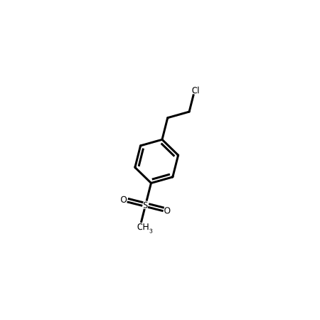 CS(=O)(=O)c1ccc(CCCl)cc1